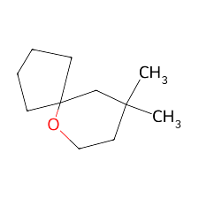 CC1(C)CCOC2(CCCC2)C1